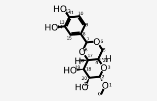 CO[C@H]1O[C@@H]2COC(c3ccc(O)c(O)c3)O[C@H]2[C@H](O)[C@@H]1O